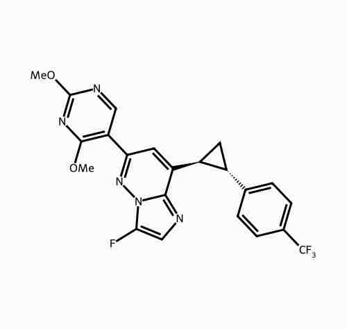 COc1ncc(-c2cc([C@H]3C[C@@H]3c3ccc(C(F)(F)F)cc3)c3ncc(F)n3n2)c(OC)n1